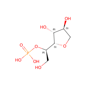 O=P(O)(O)O[C@H](CO)[C@H]1OC[C@H](O)[C@H]1O